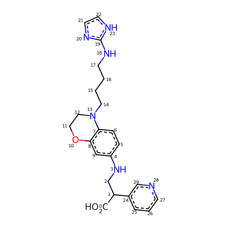 O=C(O)C(CNc1ccc2c(c1)OCCN2CCCCNc1ncc[nH]1)c1cccnc1